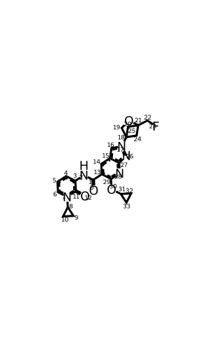 O=C(Nc1cccn(C2CC2)c1=O)c1cc2cn(C34COC(CF)(C3)C4)nc2nc1OC1CC1